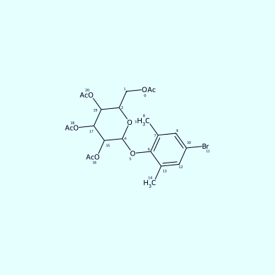 CC(=O)OCC1OC(Oc2c(C)cc(Br)cc2C)C(OC(C)=O)C(OC(C)=O)C1OC(C)=O